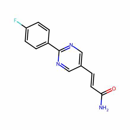 NC(=O)C=Cc1cnc(-c2ccc(F)cc2)nc1